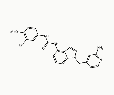 COc1ccc(NC(=O)Nc2cccc3c2ccn3Cc2ccnc(N)c2)cc1Br